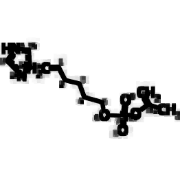 C=CCCCCOS(=O)(=O)OC(=C)C.c1c[nH]cn1